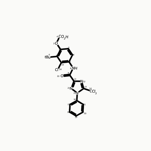 CC(C)(C)c1c(OC(=O)O)ccc(NC(=O)c2nc(C(Cl)(Cl)Cl)n(-c3ccccc3)n2)c1Cl